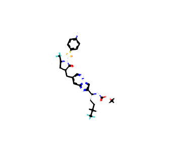 CC(C)(C)OC(=O)N[C@@H](CCC(C)(C)C(F)(F)F)c1cn2ncc(CC3C[C@@](C)(C(F)(F)F)N(S(=O)(=O)c4ccc(N)cc4)C3=O)cc2n1